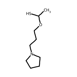 CC(S)OCCCN1CCCC1